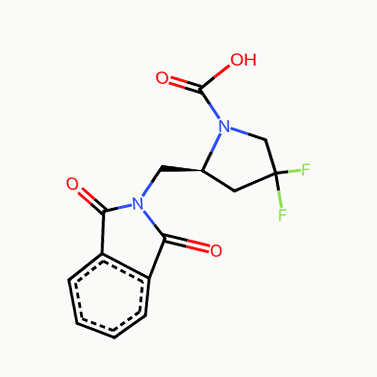 O=C1c2ccccc2C(=O)N1C[C@@H]1CC(F)(F)CN1C(=O)O